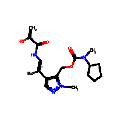 C=C(O)C(=O)N/C=C(/c1cnn(C)c1COC(=O)N(C)C1CCCC1)C(C)CC